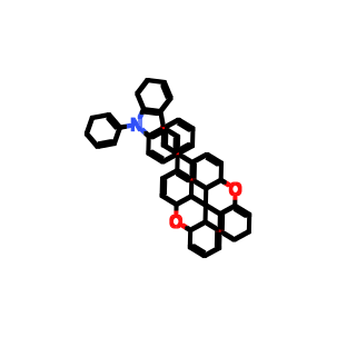 C1=CC2OC3C=CC(c4ccccc4)=CC3C3(C4=CCCC=C4OC4C=CC(c5ccc6c(c5)c5c(n6C6=CCCC=C6)CCC=C5)=CC43)C2C=C1